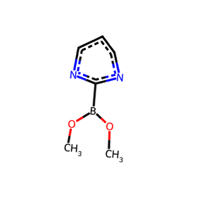 COB(OC)c1ncccn1